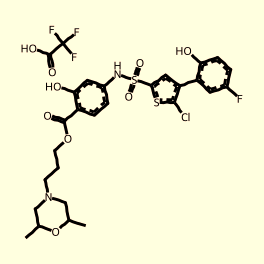 CC1CN(CCCOC(=O)c2ccc(NS(=O)(=O)c3cc(-c4cc(F)ccc4O)c(Cl)s3)cc2O)CC(C)O1.O=C(O)C(F)(F)F